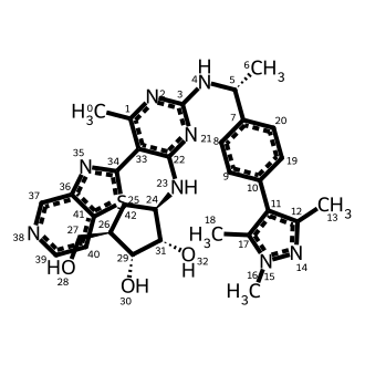 Cc1nc(N[C@H](C)c2ccc(-c3c(C)nn(C)c3C)cc2)nc(N[C@@H]2C[C@H](CO)[C@@H](O)[C@H]2O)c1-c1nc2cnccc2s1